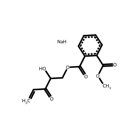 C=CC(=O)C(O)COC(=O)c1ccccc1C(=O)OC.[NaH]